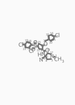 CCN1CCC(C#N)(NC(=O)[C@@H]2C[C@@H](S(=O)(=O)c3ccc(Cl)cc3Cl)C[C@H]2OCc2ccc(Cl)cc2)CC1